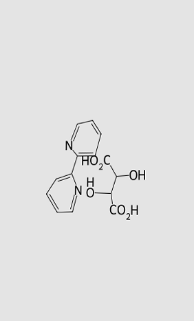 O=C(O)C(O)C(O)C(=O)O.c1ccc(-c2ccccn2)nc1